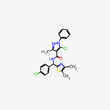 Cc1nc(C(NC(=O)c2c(C)nn(-c3ccccc3)c2Cl)c2ccc(Cl)cc2)sc1C